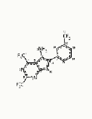 Nc1c2c(C(F)(F)F)nc(C(F)(F)F)nc2nn1-c1cccc(C(F)(F)F)c1